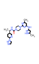 Cc1cc(Nc2cc(C)[nH]n2)nc(N2CCN(C(=O)N[C@@H](C)c3ccc(-n4ccnn4)nc3)CC2)n1